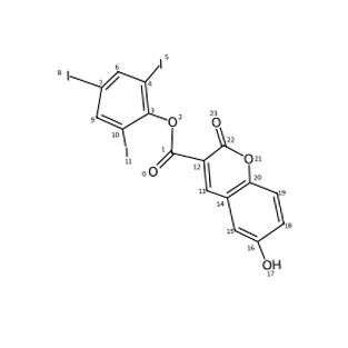 O=C(Oc1c(I)cc(I)cc1I)c1cc2cc(O)ccc2oc1=O